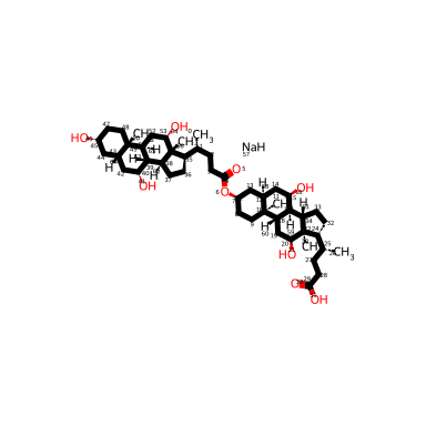 C[C@H](CCC(=O)O[C@@H]1CC[C@@]2(C)[C@@H](C1)C[C@@H](O)[C@@H]1[C@@H]2C[C@H](O)[C@]2(C)[C@@H]([C@H](C)CCC(=O)O)CC[C@@H]12)[C@H]1CC[C@H]2[C@@H]3[C@H](O)C[C@@H]4C[C@H](O)CC[C@]4(C)[C@H]3C[C@H](O)[C@]12C.[NaH]